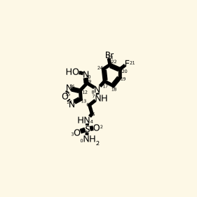 NS(=O)(=O)NCCNN(C(=NO)c1cnon1)c1ccc(F)c(Br)c1